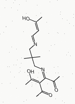 CC(=O)C(=NCC(C)(C)CN=CC=C(C)O)C(C(C)=O)=C(C)O